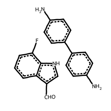 Nc1ccc(-c2ccc(N)cc2)cc1.O=Cc1c[nH]c2c(F)cccc12